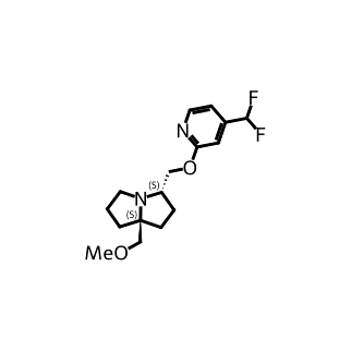 COC[C@@]12CCCN1[C@H](COc1cc(C(F)F)ccn1)CC2